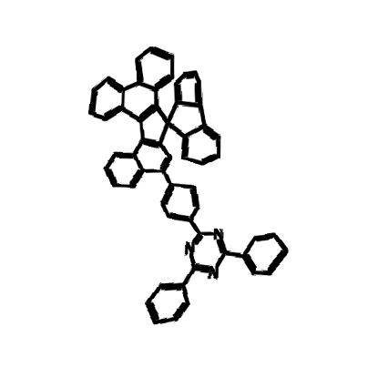 c1ccc(-c2nc(-c3ccccc3)nc(-c3ccc(-c4cc5c(c6ccccc46)-c4c(c6ccccc6c6ccccc46)C54c5ccccc5-c5ccccc54)cc3)n2)cc1